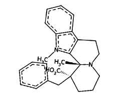 Cn1c2c(c3ccccc31)CCN1CCC[C@](Cc3ccccc3)(C(=O)O)[C@]21C